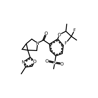 Cc1coc(C23CC2CN(C(=O)c2cc(S(C)(=O)=O)ccc2OC(C)C(C)(F)F)C3)n1